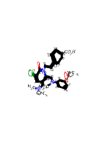 CN(C)Cc1cc(Cl)c(=O)n(CCc2ccc(C(=O)O)cc2)c1CN(C)c1cccc(OC(F)(F)F)c1